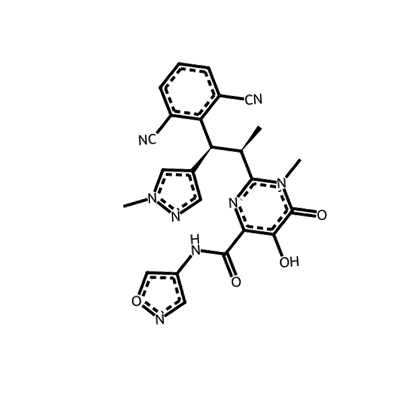 C[C@@H](c1nc(C(=O)Nc2cnoc2)c(O)c(=O)n1C)[C@@H](c1cnn(C)c1)c1c(C#N)cccc1C#N